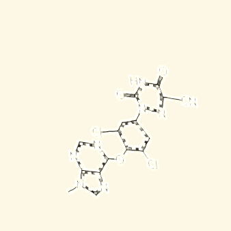 Cn1cnc2c(Oc3c(Cl)cc(-n4nc(C#N)c(=O)[nH]c4=O)cc3Cl)ncnc21